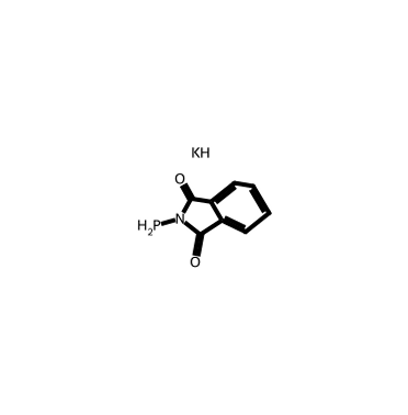 O=C1c2ccccc2C(=O)N1P.[KH]